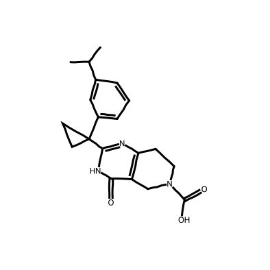 CC(C)c1cccc(C2(c3nc4c(c(=O)[nH]3)CN(C(=O)O)CC4)CC2)c1